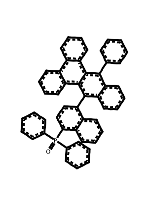 O=P(c1ccccc1)(c1ccccc1)c1ccc(-c2c3ccccc3c(-c3ccccc3)c3c4ccccc4c4ccccc4c23)c2ccccc12